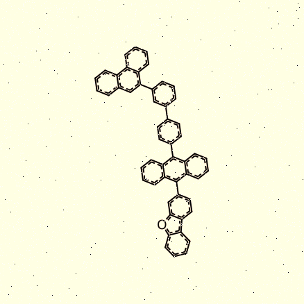 c1cc(-c2ccc(-c3c4ccccc4c(-c4ccc5c(c4)oc4ccccc45)c4ccccc34)cc2)cc(-c2cc3ccccc3c3ccccc23)c1